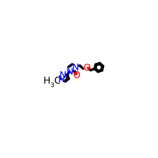 Cn1ccc(N2CCN(CCOCc3ccccc3)C2=O)n1